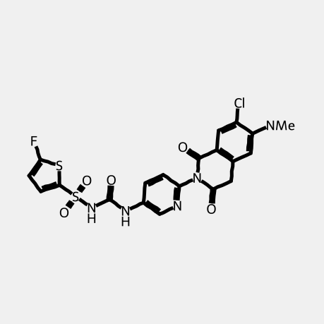 CNc1cc2c(cc1Cl)C(=O)N(c1ccc(NC(=O)NS(=O)(=O)c3ccc(F)s3)cn1)C(=O)C2